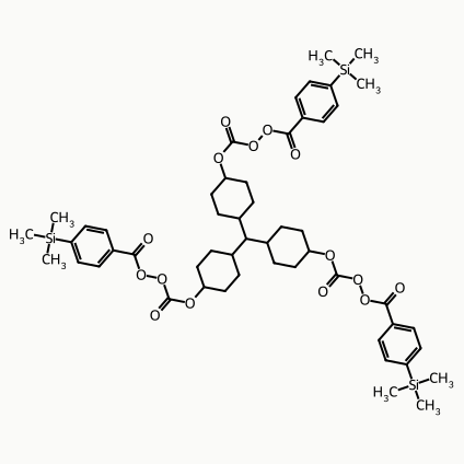 C[Si](C)(C)c1ccc(C(=O)OOC(=O)OC2CCC(C(C3CCC(OC(=O)OOC(=O)c4ccc([Si](C)(C)C)cc4)CC3)C3CCC(OC(=O)OOC(=O)c4ccc([Si](C)(C)C)cc4)CC3)CC2)cc1